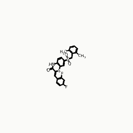 Cc1cccc(C)c1CS(=O)(=O)c1ccc2c(c1)S/C(=C\c1ccc(F)cc1F)C(=O)N2